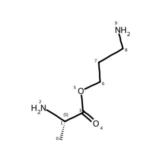 C[C@H](N)C(=O)OCCCN